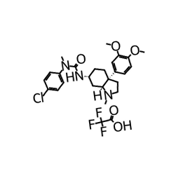 COc1ccc([C@@]23CC[C@@H](NC(=O)N(C)c4ccc(Cl)cc4)C[C@@H]2N(C)CC3)cc1OC.O=C(O)C(F)(F)F